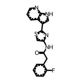 O=C(Cc1ccccc1F)Nc1csc(-c2c[nH]c3ncccc23)n1